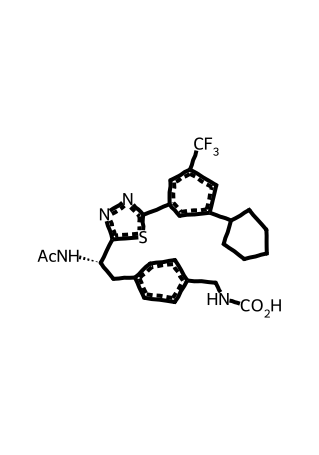 CC(=O)N[C@@H](Cc1ccc(CNC(=O)O)cc1)c1nnc(-c2cc(C3CCCCC3)cc(C(F)(F)F)c2)s1